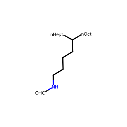 CCCCCCCCC(CCCCCCC)CCCCNC=O